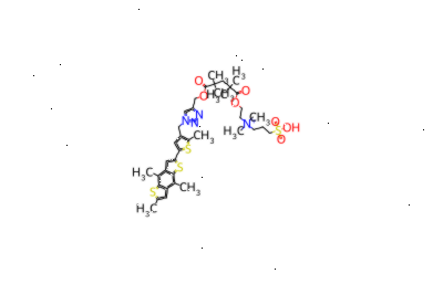 Cc1cc2c(C)c3sc(-c4cc(Cn5cc(COC(=O)C(C)(C)CC(C)(C)C(=O)OCC[N+](C)(C)CCCS(=O)(=O)O)nn5)c(C)s4)cc3c(C)c2s1